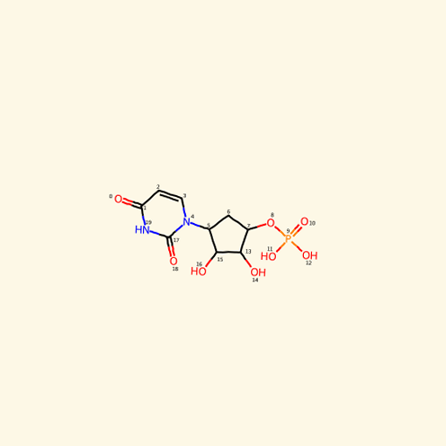 O=c1ccn(C2CC(OP(=O)(O)O)C(O)C2O)c(=O)[nH]1